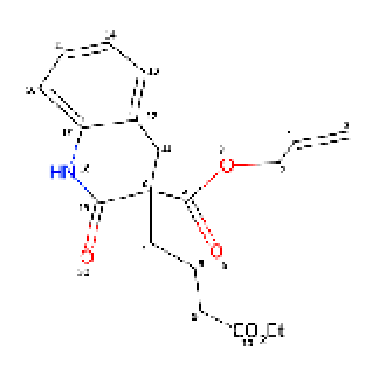 C=CCOC(=O)C1(CCCC(=O)OCC)Cc2ccccc2NC1=O